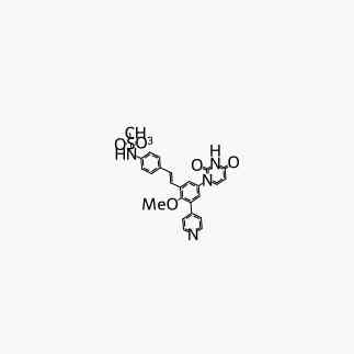 COc1c(C=Cc2ccc(NS(C)(=O)=O)cc2)cc(-n2ccc(=O)[nH]c2=O)cc1-c1ccncc1